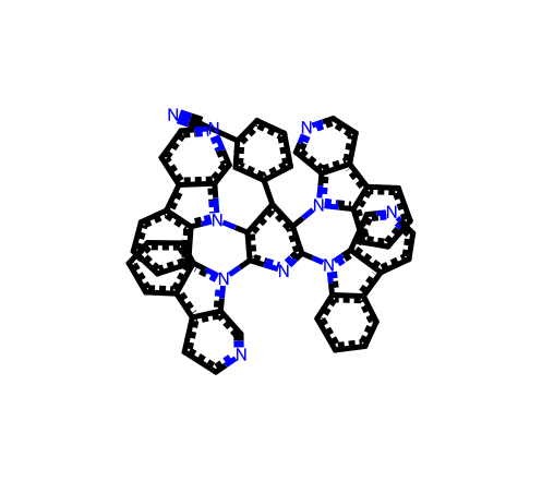 N#Cc1cccc(-c2c(-n3c4ccccc4c4ccncc43)c(-n3c4ccccc4c4ccncc43)nc(-n3c4ccccc4c4ccncc43)c2-n2c3ccccc3c3ccncc32)c1